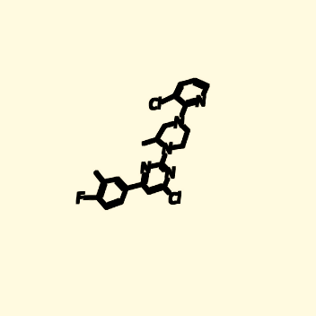 Cc1cc(-c2cc(Cl)nc(N3CCN(c4ncccc4Cl)CC3C)n2)ccc1F